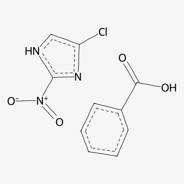 O=C(O)c1ccccc1.O=[N+]([O-])c1nc(Cl)c[nH]1